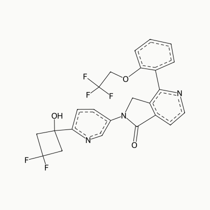 O=C1c2ccnc(-c3ccccc3OCC(F)(F)F)c2CN1c1ccc(C2(O)CC(F)(F)C2)nc1